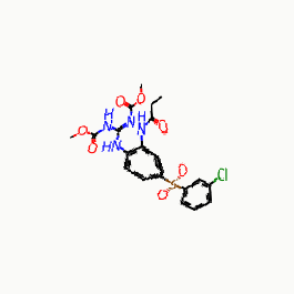 CCC(=O)Nc1cc(S(=O)(=O)c2cccc(Cl)c2)ccc1NC(=NC(=O)OC)NC(=O)OC